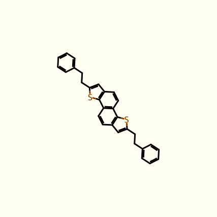 c1ccc(CCc2cc3ccc4c(ccc5cc(CCc6ccccc6)sc54)c3s2)cc1